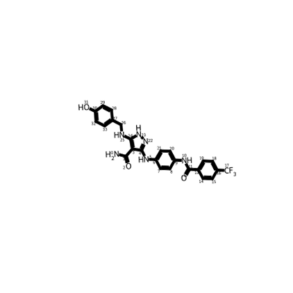 NC(=O)c1c(Nc2ccc(NC(=O)c3ccc(C(F)(F)F)cc3)cc2)n[nH]c1NCc1ccc(O)cc1